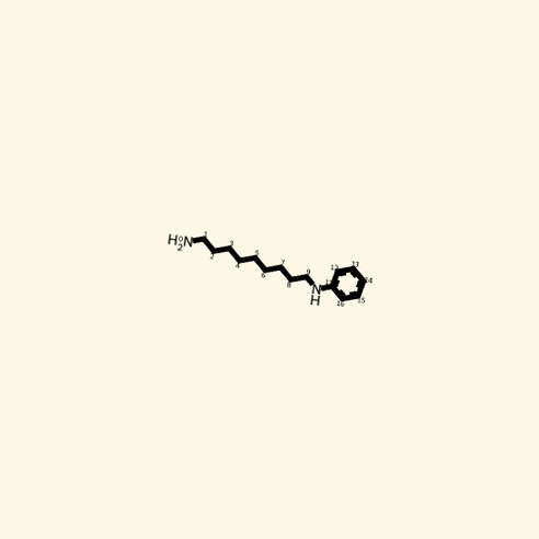 NCCCCCCCCCNc1ccccc1